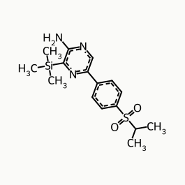 CC(C)S(=O)(=O)c1ccc(-c2cnc(N)c([Si](C)(C)C)n2)cc1